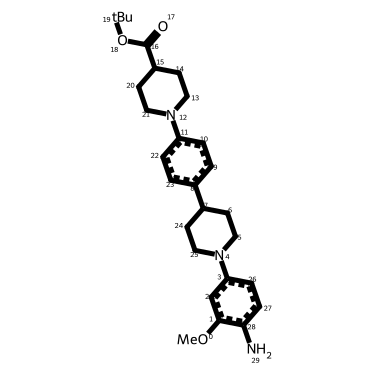 COc1cc(N2CCC(c3ccc(N4CCC(C(=O)OC(C)(C)C)CC4)cc3)CC2)ccc1N